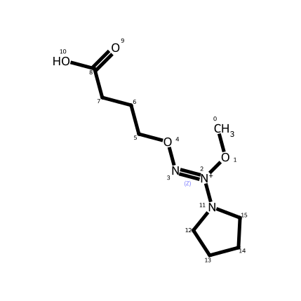 CO/[N+](=N\OCCCC(=O)O)N1CCCC1